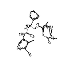 Cc1nn(C)c(=O)cc1OC[C@@]1(c2ccccc2)C[C@H]1C(=O)Nc1cncc(F)c1C